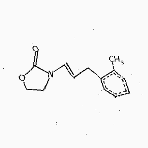 Cc1ccccc1C/C=C/N1CCOC1=O